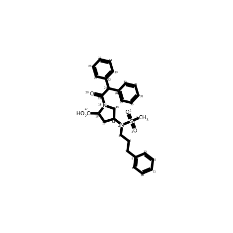 CS(=O)(=O)N(CCCc1ccccc1)C1CC(C(=O)O)N(C(=O)C(c2ccccc2)c2ccccc2)C1